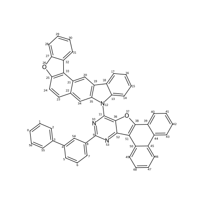 c1ccc(-c2cccc(-c3nc(-n4c5ccccc5c5cc6c(ccc7oc8ccccc8c76)cc54)c4oc5c6ccccc6c6ccccc6c5c4n3)c2)cc1